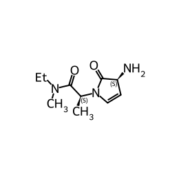 CCN(C)C(=O)[C@H](C)N1C=C[C@H](N)C1=O